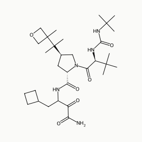 CC(C)(C)NC(=O)N[C@H](C(=O)N1C[C@H](C(C)(C)C2(C)COC2)C[C@H]1C(=O)NC(CC1CCC1)C(=O)C(N)=O)C(C)(C)C